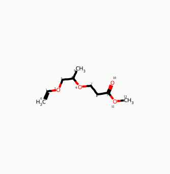 C=COCC(C)OCCC(=O)OC